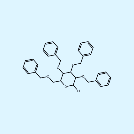 ClC1OC(COCc2ccccc2)C(OCc2ccccc2)C(OCc2ccccc2)C1OCc1ccccc1